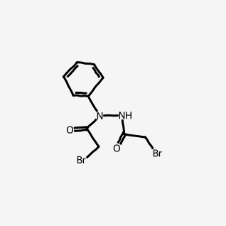 O=C(CBr)NN(C(=O)CBr)c1ccccc1